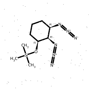 C[Si](C)(C)O[C@H]1CCC[C@@H](N=[N+]=[N-])[C@H]1N=[N+]=[N-]